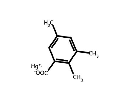 Cc1cc(C)c(C)c(C(=O)[O-])c1.[Hg+]